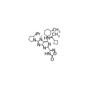 CC(C)C1CCCN1c1nc2nc(-c3noc(=O)[nH]3)nc(N[C@H](C)C3CCC3)c2n1C[C@H]1CC[C@H](C)CC1